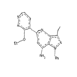 CCOc1nnccc1-c1cc(N)c2c(n1)c(C)nn2C(C)C